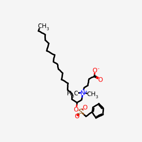 CCCCCCCCCCCCCCCCC(C[N+](C)(C)CCCC(=O)[O-])OS(=O)(=O)Cc1ccccc1